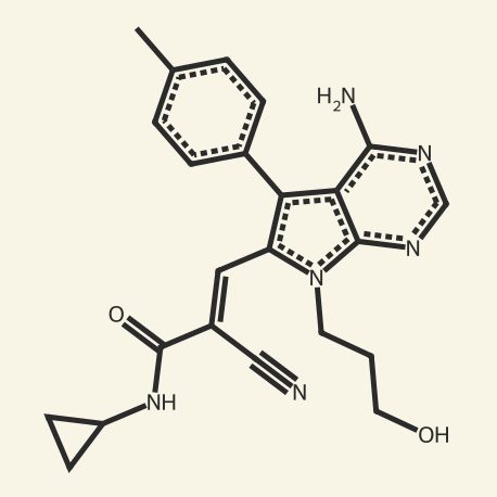 Cc1ccc(-c2c(C=C(C#N)C(=O)NC3CC3)n(CCCO)c3ncnc(N)c23)cc1